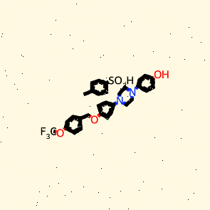 Cc1ccc(S(=O)(=O)O)cc1.Oc1ccc(N2CCN(c3ccc(OCc4ccc(OC(F)(F)F)cc4)cc3)CC2)cc1